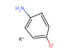 Nc1ccc([O-])cc1.[K+]